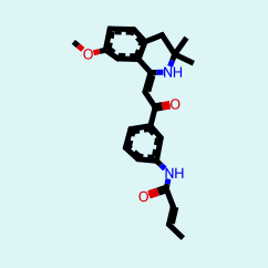 CC=CC(=O)Nc1cccc(C(=O)C=C2NC(C)(C)Cc3ccc(OC)cc32)c1